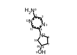 Nc1cnc(N2CC[C@@H](O)C2)cn1